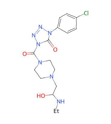 CCNC(O)CN1CCN(C(=O)n2nnn(-c3ccc(Cl)cc3)c2=O)CC1